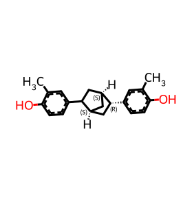 Cc1cc(C2C[C@@H]3C[C@H]2C[C@H]3c2ccc(O)c(C)c2)ccc1O